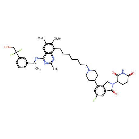 COc1cc2c(N[C@H](C)c3cccc(C(F)(F)CO)c3)nc(C)nc2c(CCCCCCCN2CCC(c3cc(F)cc4c3CN(C3CCC(=O)NC3=O)C4=O)CC2)c1OC